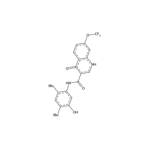 CC(C)(C)c1cc(C(C)(C)C)c(NC(=O)c2c[nH]c3cc(OC(F)(F)F)ccc3c2=O)cc1O